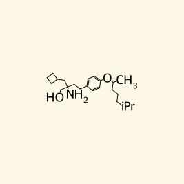 CC(C)CCCC(C)Oc1ccc(CCC(N)(CO)CC2CCC2)cc1